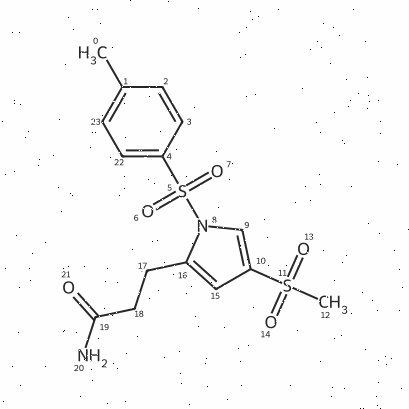 Cc1ccc(S(=O)(=O)n2cc(S(C)(=O)=O)cc2[CH]CC(N)=O)cc1